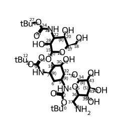 CC(C)(C)OC(=O)NC1C[C@@H](NC(=O)OC(C)(C)C)[C@@H](O[C@@H]2O[C@H](CO)[C@H](O)C(NC(=O)OC(C)(C)C)C2O)C(O)[C@@H]1O[C@H]1OC(CN)[C@@H](O)[C@H](O)C1O